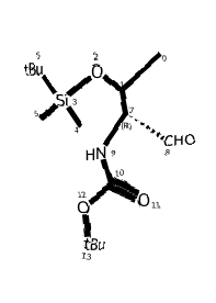 CC(O[Si](C)(C)C(C)(C)C)[C@H](C=O)NC(=O)OC(C)(C)C